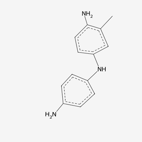 Cc1cc(Nc2ccc(N)cc2)ccc1N